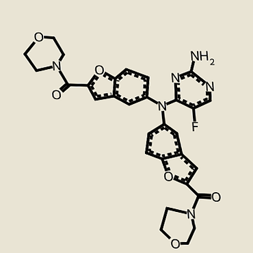 Nc1ncc(F)c(N(c2ccc3oc(C(=O)N4CCOCC4)cc3c2)c2ccc3oc(C(=O)N4CCOCC4)cc3c2)n1